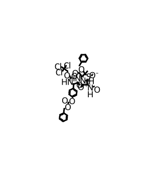 CC1(C)[S+]([O-])[C@@H]2[C@H](NC=O)C(=O)N2[C@@]1(NC(=O)C(NC(=O)OCC(Cl)(Cl)Cl)c1ccc(OC(=O)OCc2ccccc2)cc1)C(=O)OCc1ccccc1